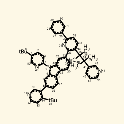 CC(C)(C)c1ccc(-n2c3cc(-c4cnccc4C(C)(C)C)ccc3c3ccc(-c4nc(-c5ccccc5)ccc4C(C)(C)C(C)(C)c4cccnc4)cc32)nc1